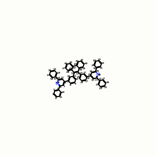 c1ccc(-c2cc(-c3cccc(-c4c(-c5cccc(-c6cc(-c7ccccc7)nc(-c7ccccc7)c6)c5)c5ccccc5c5ccccc45)c3)cc(-c3ccccc3)n2)cc1